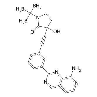 BC(B)(B)N1CCC(O)(C#Cc2cccc(-c3ncc4ccnc(N)c4n3)c2)C1=O